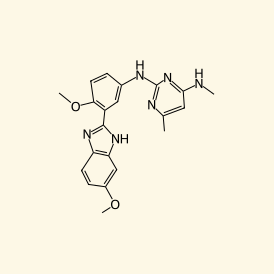 CNc1cc(C)nc(Nc2ccc(OC)c(-c3nc4ccc(OC)cc4[nH]3)c2)n1